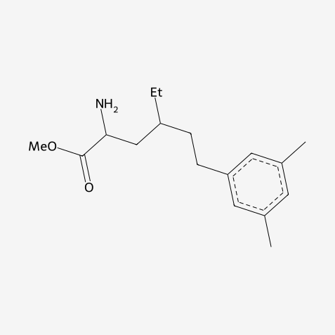 CCC(CCc1cc(C)cc(C)c1)CC(N)C(=O)OC